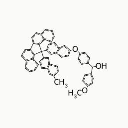 COc1ccc(C(O)c2ccc(Oc3ccc4cc(C5(c6ccc7cc(C)ccc7c6)c6c(ccc7ccccc67)-c6ccc7ccccc7c65)ccc4c3)cc2)cc1